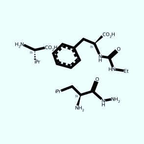 CC(C)C[C@H](N)C(=O)NN.CC(C)[C@H](N)C(=O)O.CCNC(=O)N[C@@H](Cc1ccccc1)C(=O)O